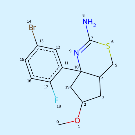 COC1CC2CSC(N)=NC2(c2cc(Br)ccc2F)C1